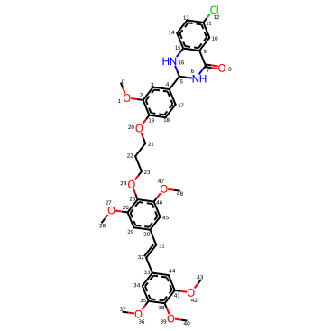 COc1cc(C2NC(=O)c3cc(Cl)ccc3N2)ccc1OCCCOc1c(OC)cc(/C=C/c2cc(OC)c(OC)c(OC)c2)cc1OC